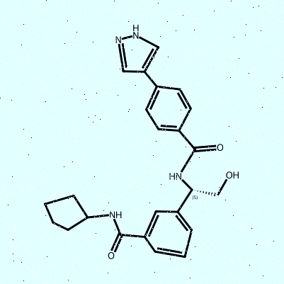 O=C(NC1CCCC1)c1cccc([C@@H](CO)NC(=O)c2ccc(-c3cn[nH]c3)cc2)c1